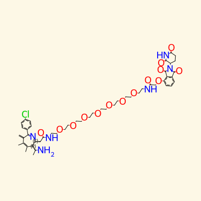 C=C1C(c2ccc(Cl)cc2)=N[C@@H](CC(=O)NCCOCCOCCOCCOCCOCCOCCOCCNC(=O)COc2cccc3c2C(=O)N(C2CCC(=O)NC2=O)C3=O)[C@@H](C(C)N)C(C)=C1C